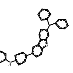 c1ccc(Nc2ccc(-c3ccc4sc5cc(C(c6ccccc6)c6ccccc6)ccc5c4c3)cc2)cc1